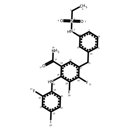 CCS(=O)(=O)Nc1cccc(Cc2cc(C(N)=O)c(Nc3ccc(I)cc3F)c(F)c2F)c1